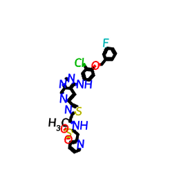 CC(NC(Cc1ccccn1)=S(=O)=O)c1nc(-c2cc3c(Nc4ccc(OCc5cccc(F)c5)c(Cl)c4)ncnc3cn2)cs1